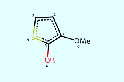 COc1ccsc1O